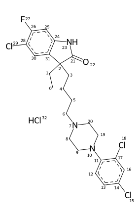 CCC1(CCCCN2CCN(c3ccc(Cl)cc3Cl)CC2)C(=O)Nc2cc(F)c(Cl)cc21.Cl